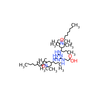 CCCCCCCCON1C(C)(C)CC(C(CCC)Nc2nc(NCCC(=O)O)nc(NC(CCC)C3CC(C)(C)N(OCCCCCCCC)C(C)(C)C3)n2)CC1(C)C